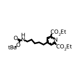 CCOC(=O)c1cc(CCCCCNC(=O)OC(C)(C)C)cc(C(=O)OCC)n1